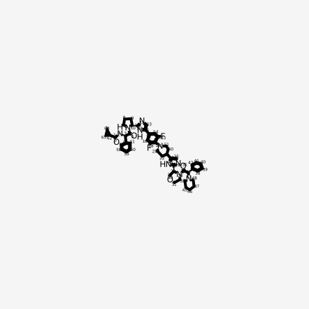 O=C(N[C@@H](C(=O)N1CCC[C@H]1c1ncc(-c2cc(F)c(N3CCC(c4cnc([C@@H]5COCCN5C(=O)[C@@H](c5ccccc5)N5CCCCC5)[nH]4)CC3)c(F)c2)[nH]1)c1ccccc1)C1CC1